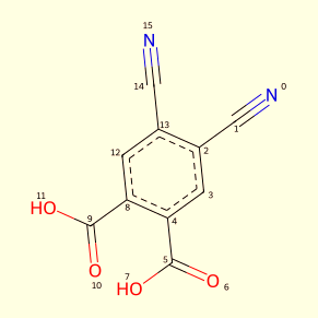 N#Cc1cc(C(=O)O)c(C(=O)O)cc1C#N